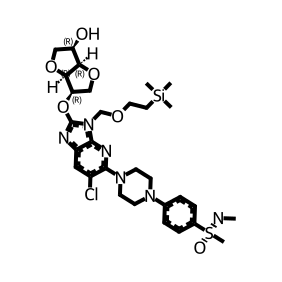 CN=S(C)(=O)c1ccc(N2CCN(c3nc4c(cc3Cl)nc(O[C@@H]3CO[C@H]5[C@@H]3OC[C@H]5O)n4COCC[Si](C)(C)C)CC2)cc1